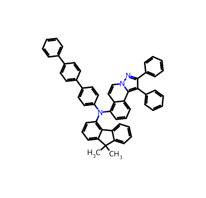 CC1(C)c2ccccc2-c2c(N(c3ccc(-c4ccc(-c5ccccc5)cc4)cc3)c3cccc4c3ccn3nc(-c5ccccc5)c(-c5ccccc5)c43)cccc21